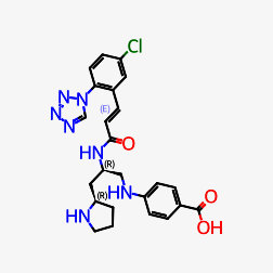 O=C(/C=C/c1cc(Cl)ccc1-n1cnnn1)N[C@@H](CNc1ccc(C(=O)O)cc1)C[C@H]1CCCN1